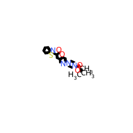 CC(C)(C)OC(=O)N1CCN(c2cc3oc(=O)c(-c4nc5ccccc5s4)cc3cn2)CC1